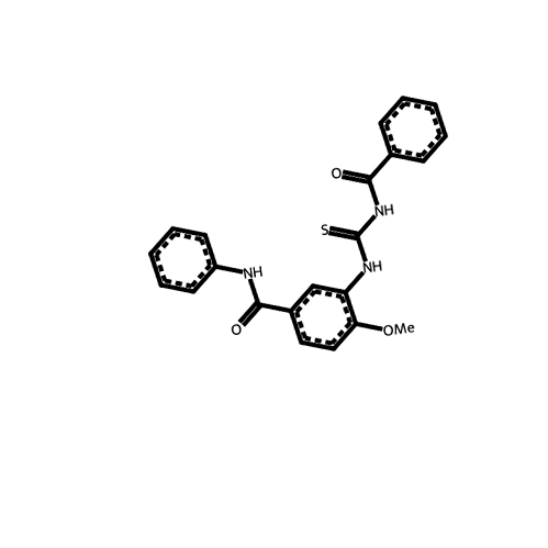 COc1ccc(C(=O)Nc2ccccc2)cc1NC(=S)NC(=O)c1ccccc1